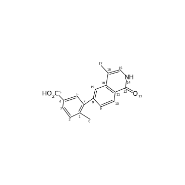 Cc1ccc(C(=O)O)cc1-c1ccc2c(=O)[nH]cc(C)c2c1